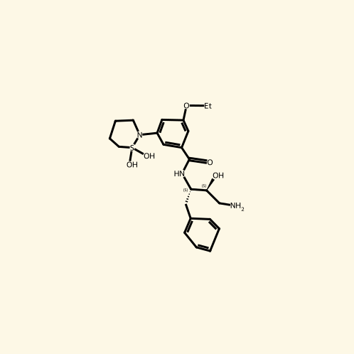 CCOc1cc(C(=O)N[C@@H](Cc2ccccc2)[C@@H](O)CN)cc(N2CCCCS2(O)O)c1